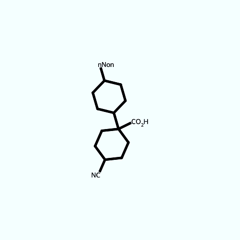 CCCCCCCCCC1CCC(C2(C(=O)O)CCC(C#N)CC2)CC1